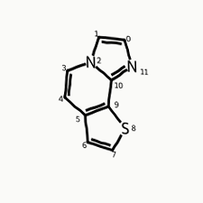 c1cn2ccc3ccsc3c2n1